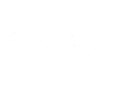 [O-][S+](c1ccc(C=Cc2nc(COc3ccc(OCCCn4ccnn4)cc3)co2)cc1)C(F)(F)F